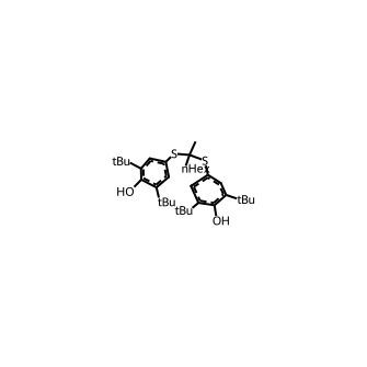 CCCCCCC(C)(Sc1cc(C(C)(C)C)c(O)c(C(C)(C)C)c1)Sc1cc(C(C)(C)C)c(O)c(C(C)(C)C)c1